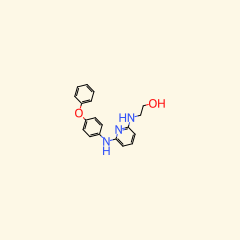 OCCNc1cccc(Nc2ccc(Oc3ccccc3)cc2)n1